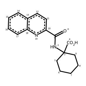 O=C(NC1(C(=O)O)CCCCC1)c1ccc2ccccc2n1